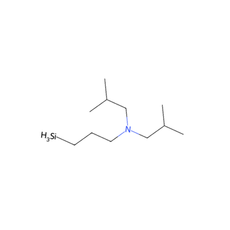 CC(C)CN(CCC[SiH3])CC(C)C